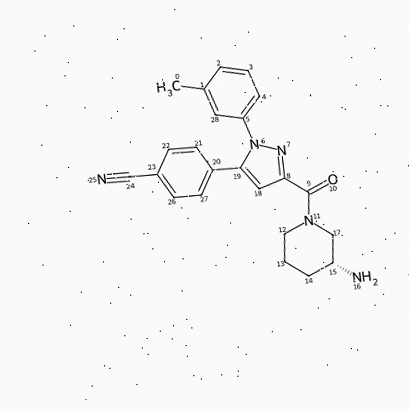 Cc1cccc(-n2nc(C(=O)N3CCC[C@@H](N)C3)cc2-c2ccc(C#N)cc2)c1